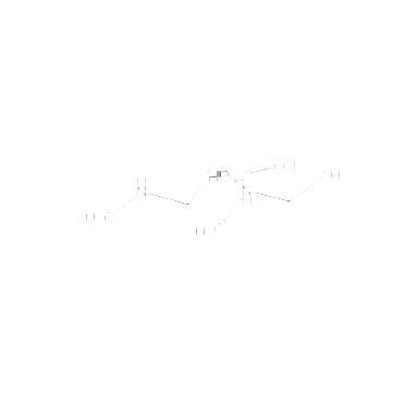 CCNC.CCNC.O=S(=O)(O)O